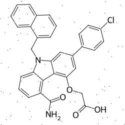 NC(=O)c1cccc2c1c1c(OCC(=O)O)cc(-c3ccc(Cl)cc3)cc1n2Cc1cccc2ccccc12